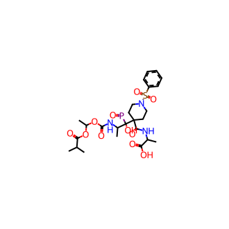 CC(OC(=O)NC(C)C(O)(P=O)C1(C(=O)NC(C)C(=O)O)CCN(S(=O)(=O)c2ccccc2)CC1)OC(=O)C(C)C